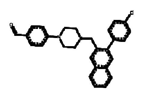 O=Cc1ccc(N2CCN(Cc3cc4ccccc4cc3-c3ccc(Cl)cc3)CC2)cc1